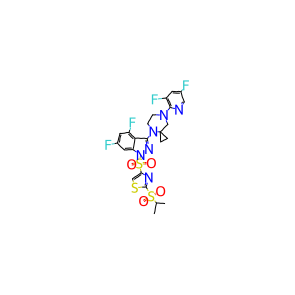 CC(C)S(=O)(=O)c1nc(S(=O)(=O)n2nc(N3CCN(c4ncc(F)cc4F)CC34CC4)c3c(F)cc(F)cc32)cs1